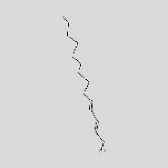 CCCCCCCCCC=CC=CCO